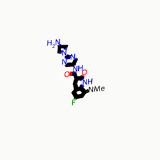 CNc1cc(F)cc2cc(C(=O)Nc3cnc(N4CC(N)C4)nc3)c(=O)[nH]c12